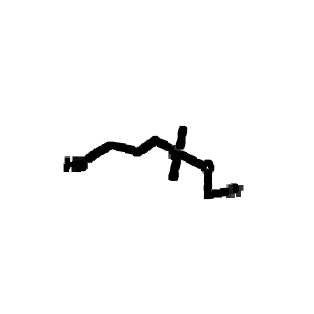 CC(C)CO[Si](C)(C)CCCS